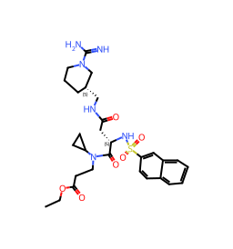 CCOC(=O)CCN(C(=O)[C@H](CC(=O)NC[C@@H]1CCCN(C(=N)N)C1)NS(=O)(=O)c1ccc2ccccc2c1)C1CC1